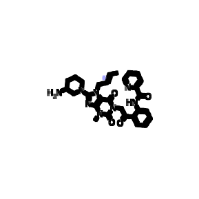 C/C=C/Cn1c(N2CCCC(N)C2)nc2c1c(=O)n(CC(=O)c1ccccc1NC(=O)c1ccccn1)c(=O)n2C